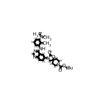 Cc1c(Nc2ncnc3ccc(N4CC5(CCN(C(=O)OC(C)(C)C)CC5)OC4=O)cc23)cccc1N(C)C